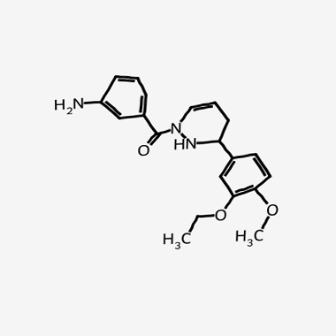 CCOc1cc(C2CC=CN(C(=O)c3cccc(N)c3)N2)ccc1OC